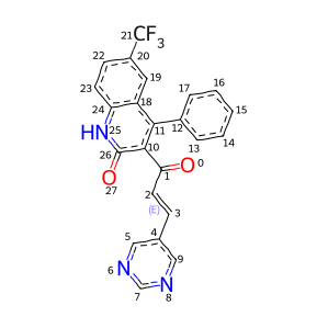 O=C(/C=C/c1cncnc1)c1c(-c2ccccc2)c2cc(C(F)(F)F)ccc2[nH]c1=O